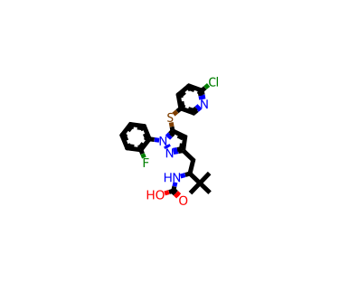 CC(C)(C)C(Cc1cc(Sc2ccc(Cl)nc2)n(-c2ccccc2F)n1)NC(=O)O